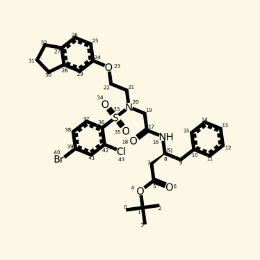 CC(C)(C)OC(=O)C[C@H](Cc1ccccc1)NC(=O)CN(CCOc1ccc2c(c1)CCC2)S(=O)(=O)c1ccc(Br)cc1Cl